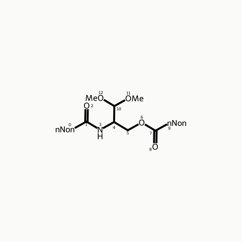 CCCCCCCCCC(=O)NC(COC(=O)CCCCCCCCC)C(OC)OC